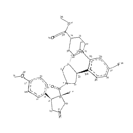 COC[C@H]1CN(C(=O)[C@]2(F)CNC[C@H]2c2ccc(OC)cc2)C[C@@H]1c1ccc(F)cc1N1CCC(C(=O)OC)CC1